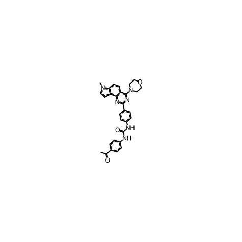 CC(=O)c1ccc(NC(=O)Nc2ccc(-c3nc(N4CCOCC4)c4ccc5c(ccn5C)c4n3)cc2)cc1